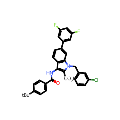 CC(C)(C)c1ccc(C(=O)Nc2c(C(=O)O)n(Cc3cccc(Cl)c3)c3cc(-c4cc(F)cc(F)c4)ccc23)cc1